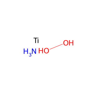 N.OO.[Ti]